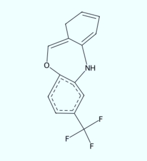 FC(F)(F)c1ccc2c(c1)NC1=CC=CCC1=CO2